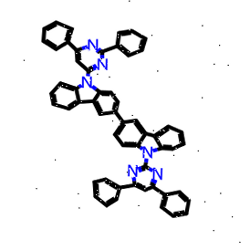 c1ccc(-c2cc(-n3c4ccccc4c4cc(-c5ccc6c(c5)c5ccccc5n6-c5nc(-c6ccccc6)cc(-c6ccccc6)n5)ccc43)nc(-c3ccccc3)n2)cc1